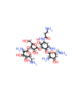 NCCC(=O)N[C@@H]1C[C@H](N)[C@@H](O[C@H]2O[C@H](CN)C[C@H](O)[C@H]2N)[C@H](O[C@@H]2O[C@H](CO)[C@@H](O[C@H]3O[C@@H](CN)[C@@H](O)[C@H](O)[C@H]3N)[C@H]2O)[C@H]1O